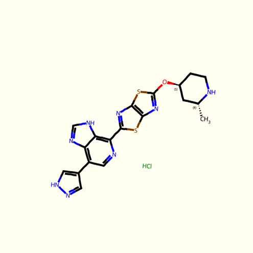 C[C@@H]1C[C@@H](Oc2nc3sc(-c4ncc(-c5cn[nH]c5)c5nc[nH]c45)nc3s2)CCN1.Cl